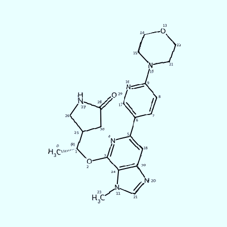 C[C@@H](Oc1nc(-c2ccc(N3CCOCC3)nc2)cc2ncn(C)c12)C1CNC(=O)C1